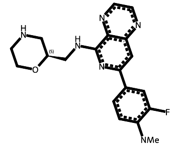 CNc1ccc(-c2cc3nccnc3c(NC[C@@H]3CNCCO3)n2)cc1F